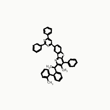 Cc1ccccc1-c1ccccc1C(C)c1nc2c(sc3ccc(-c4cc(-c5ccccc5)nc(-c5ccccc5)n4)cc32)c(-c2ccccc2)c1C